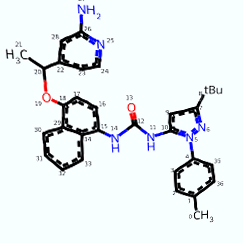 Cc1ccc(-n2nc(C(C)(C)C)cc2NC(=O)Nc2ccc(OC(C)c3ccnc(N)c3)c3ccccc23)cc1